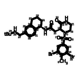 Cc1c(Br)cc(S(=O)(=O)N2CCNC(=O)[C@@H]2CC(=O)N[C@@H]2CCCc3cc(CNC(C)(C)C)ccc32)cc1Br